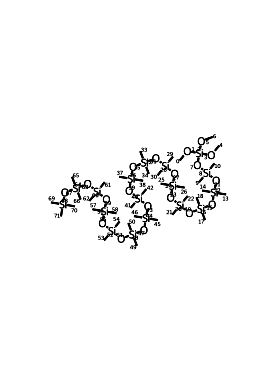 CO[Si](OC)(OC)O[Si](C)(C)O[Si](C)(C)O[Si](C)(C)O[Si](C)(C)O[Si](C)(C)O[Si](C)(C)O[Si](C)(C)O[Si](C)(C)O[Si](C)(C)O[Si](C)(C)O[Si](C)(C)O[Si](C)(C)O[Si](C)(C)O[Si](C)(C)O[Si](C)(C)O[Si](C)(C)C